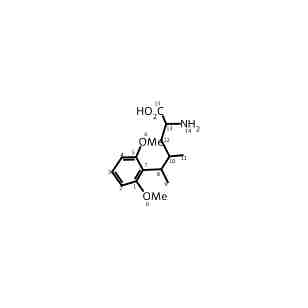 COc1cccc(OC)c1C(C)C(C)CC(N)C(=O)O